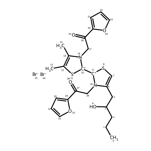 CCCC(O)Cc1cs[c+](-[c+]2sc(C)c(C)n2CC(=O)c2ccco2)n1CC(=O)c1ccco1.[Br-].[Br-]